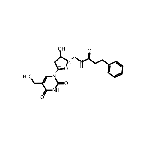 CCc1cn([C@@H]2CC(O)[C@H](CNC(=O)CCc3ccccc3)O2)c(=O)[nH]c1=O